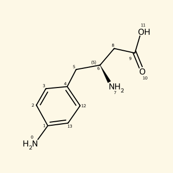 Nc1ccc(C[C@H](N)CC(=O)O)cc1